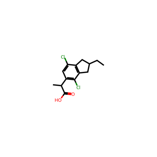 CCC1Cc2c(Cl)cc(C(C)C(=O)O)c(Cl)c2C1